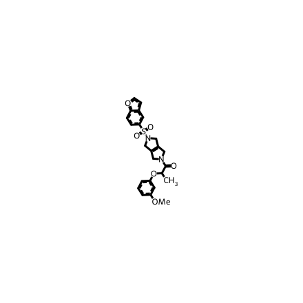 COc1cccc(OC(C)C(=O)N2CC3=C(C2)CN(S(=O)(=O)c2ccc4occc4c2)C3)c1